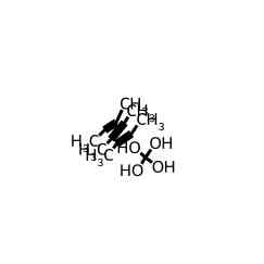 CC#CC.CC#CC.CC#CC.OC(O)(O)O